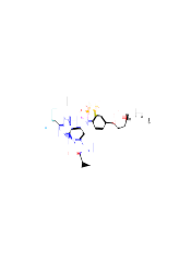 CC1(C)CCC(c2ccc(Nc3cc(NC(=O)C4CC4)nc4[nH]c(C(F)F)nc34)c(S(C)(=O)=O)c2)O1